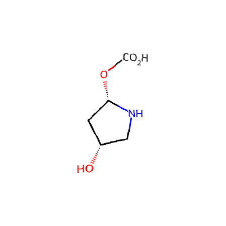 O=C(O)O[C@H]1C[C@@H](O)CN1